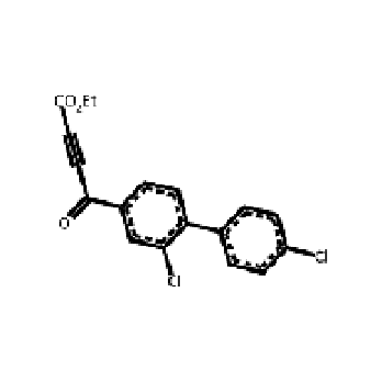 CCOC(=O)C#CC(=O)c1ccc(-c2ccc(Cl)cc2)c(Cl)c1